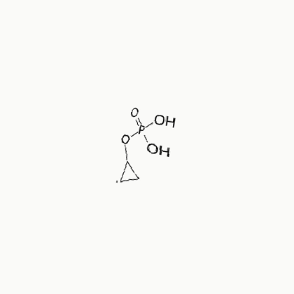 O=P(O)(O)OC1[CH]C1